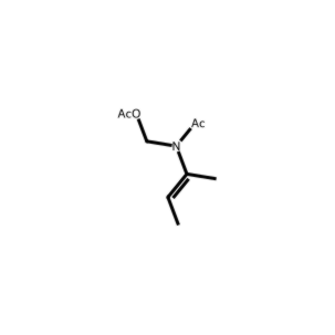 C/C=C(\C)N(COC(C)=O)C(C)=O